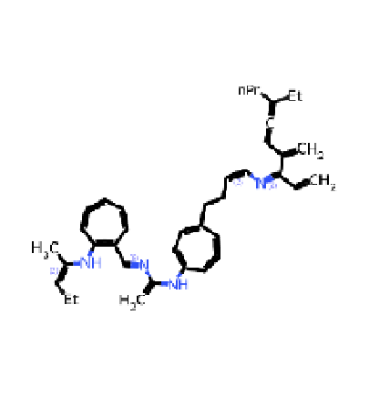 C=C/C(=N/C=C\CCC1=CC=C(NC(=C)/N=C/C2=C(N/C(C)=C\CC)C=C=CC=C2)C=C=C1)C(=C)C=C=C(CC)CCC